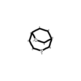 C1CC2CCC(CO2)CS1